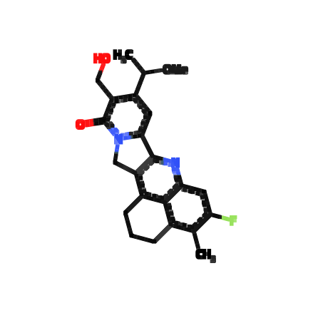 COC(C)c1cc2n(c(=O)c1CO)Cc1c-2nc2cc(F)c(C)c3c2c1CCC3